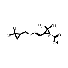 CC1(C)C(C=NOCC2CC2(Cl)Cl)[C@H]1C(=O)O